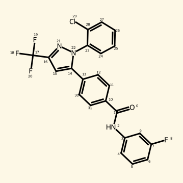 O=C(Nc1cccc(F)c1)c1ccc(-c2cc(C(F)(F)F)nn2-c2ccccc2Cl)cc1